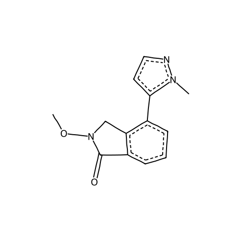 CON1Cc2c(cccc2-c2ccnn2C)C1=O